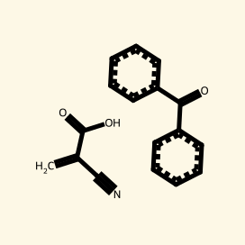 C=C(C#N)C(=O)O.O=C(c1ccccc1)c1ccccc1